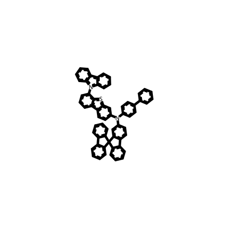 c1ccc(-c2ccc(N(c3ccc4c(c3)C3(c5ccccc5-c5ccccc53)c3ccccc3-4)c3ccc4c(c3)sc3c(-n5c6ccccc6c6ccccc65)cccc34)cc2)cc1